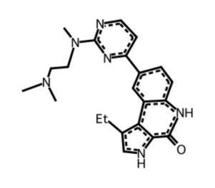 [CH2]Cc1c[nH]c2c(=O)[nH]c3ccc(-c4ccnc(N(C)CCN(C)C)n4)cc3c12